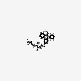 CC/C(=C(\c1ccccc1)c1ccc(OCCN(C)C(=O)COCCOC)cc1)c1ccccc1